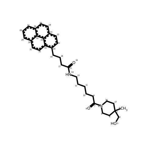 CC1(CO)CCN(C(=O)CCCCCNC(=O)CCCc2ccc3ccc4cccc5ccc2c3c45)CC1